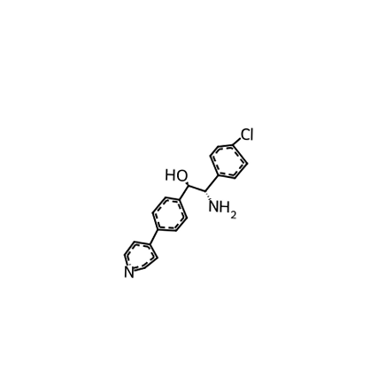 N[C@@H](c1ccc(Cl)cc1)[C@H](O)c1ccc(-c2ccncc2)cc1